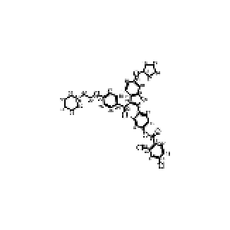 O=C(Oc1ccc(-c2sc3cc(OC4CCCC4)ccc3c2C(=O)c2ccc(OCCN3CCCCC3)cc2)cc1)c1ccc(Cl)cc1Cl